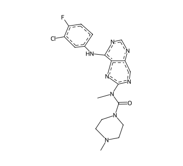 CN1CCN(C(=O)N(C)c2ncc3ncnc(Nc4ccc(F)c(Cl)c4)c3n2)CC1